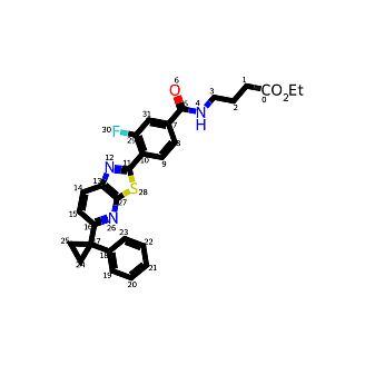 CCOC(=O)CCCNC(=O)c1ccc(-c2nc3ccc(C4(c5ccccc5)CC4)nc3s2)c(F)c1